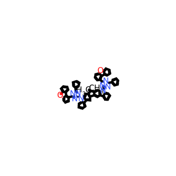 CC1(C)c2cc3c(cc2-c2cc4c5ccccc5n(-c5nc(-c6ccccc6)nc(-c6cccc7oc8ccccc8c67)n5)c4cc21)c1ccccc1n3-c1nc(-c2ccccc2)nc(-c2cccc3oc4ccccc4c23)n1